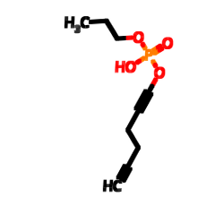 C#CCCC#COP(=O)(O)OCCC